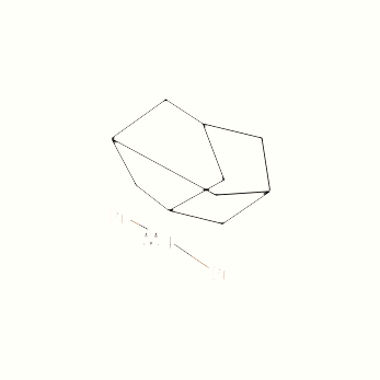 C1C2CC3CC1CC(C2)C3.[Br][Mg][Br]